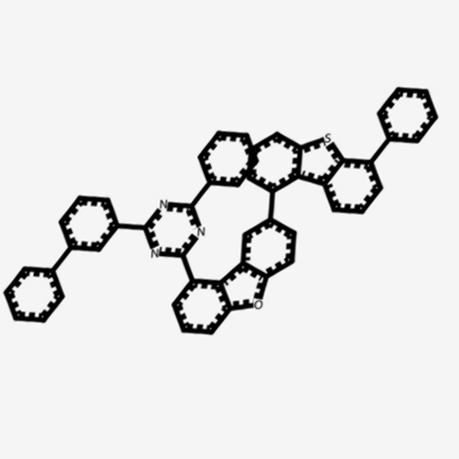 c1ccc(-c2cccc(-c3nc(-c4ccccc4)nc(-c4cccc5oc6ccc(-c7cccc8sc9c(-c%10ccccc%10)cccc9c78)cc6c45)n3)c2)cc1